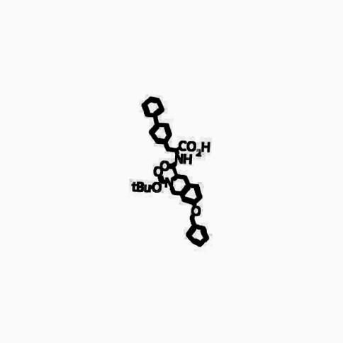 CC(C)(C)OC(=O)N1Cc2cc(OCc3ccccc3)ccc2C[C@@H]1C(=O)N[C@H](Cc1ccc(-c2ccccc2)cc1)C(=O)O